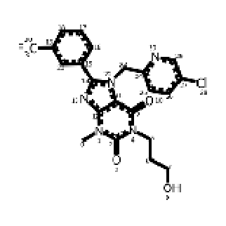 Cn1c(=O)n(CCCO)c(=O)c2c1nc(-c1cccc(C(F)(F)F)c1)n2Cc1ccc(Cl)cn1